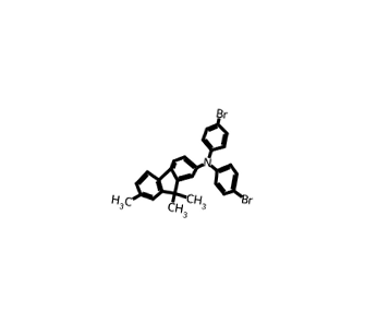 Cc1ccc2c(c1)C(C)(C)c1cc(N(c3ccc(Br)cc3)c3ccc(Br)cc3)ccc1-2